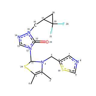 CC1=C(C)N(Cc2cncs2)C(n2cnn(CC3CC3(F)F)c2=O)S1